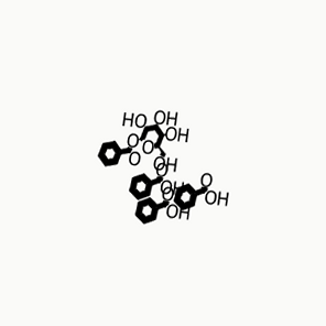 O=C(O)c1ccccc1.O=C(O)c1ccccc1.O=C(O)c1ccccc1.O=C(O[C@H]1O[C@H](CO)[C@@H](O)[C@H](O)[C@H]1O)c1ccccc1